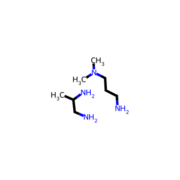 CC(N)CN.CN(C)CCCN